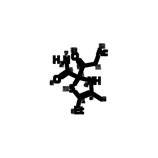 CCC1=C(C)NC(C(N)=O)(C(=O)CC(C)=O)S1